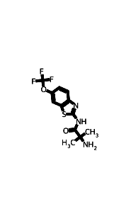 CC(C)(N)C(=O)Nc1nc2ccc(OC(F)(F)F)cc2s1